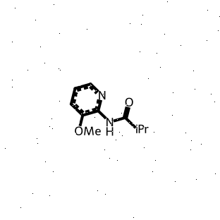 COc1cccnc1NC(=O)C(C)C